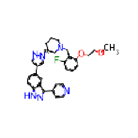 COCCOc1cccc(F)c1CN1CCC[C@@H](n2cc(-c3ccc4[nH]nc(-c5ccncc5)c4c3)cn2)C1